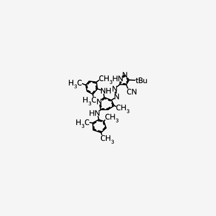 Cc1cc(C)c(Nc2cc(C)c(N=Nc3[nH]nc(C(C)(C)C)c3C#N)c(Nc3c(C)cc(C)cc3C)n2)c(C)c1